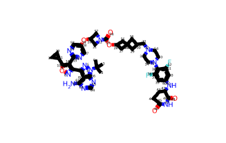 CC(C)(C)n1nc(-c2noc(C3CC3)c2-c2ncc(OC3CN(C(=O)OC4CC5(CC(CN6CCN(c7c(F)cc(NC8CCC(=O)NC8=O)cc7F)CC6)C5)C4)C3)cn2)c2c(N)ncnc21